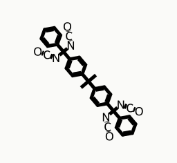 CC(C)(c1ccc(C(N=C=O)(N=C=O)c2ccccc2)cc1)c1ccc(C(N=C=O)(N=C=O)c2ccccc2)cc1